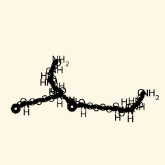 C[C@H](NC(=O)CNC(=O)CNC(=O)CCOCCOCCOCCOCCNC(=O)COC1CCCCCc2c1nnn2CCCC[C@@H](NC(=O)CCOCCOCCOCCOCCNC(=O)COC1C#CCCCCC1)C(=O)NCC(=O)NCC(=O)N[C@@H](C)C(=O)NCC(=O)NCOCC(N)=O)C(=O)NCC(=O)NCOCC(N)=O